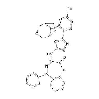 N#Cc1cnc(-c2nnc(N[C@H]3N=C(c4ccccc4)c4ccccc4NC3=O)o2)c(N2C3CCC2COC3)c1